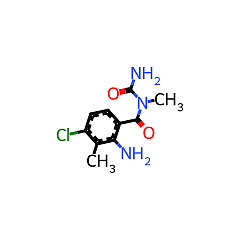 Cc1c(Cl)ccc(C(=O)N(C)C(N)=O)c1N